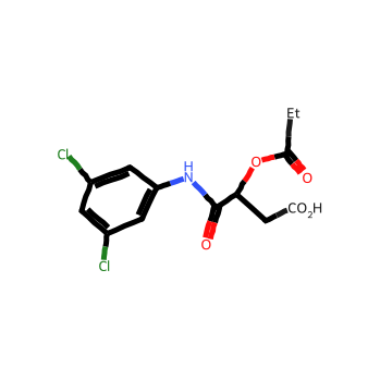 CCC(=O)OC(CC(=O)O)C(=O)Nc1cc(Cl)cc(Cl)c1